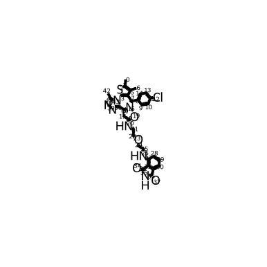 Cc1sc2c(c1C)C(c1ccc(Cl)cc1)=N[C@@H](CC(=O)NCCOCCNc1cccc3c1C(=O)NC3=O)c1nnc(C)n1-2